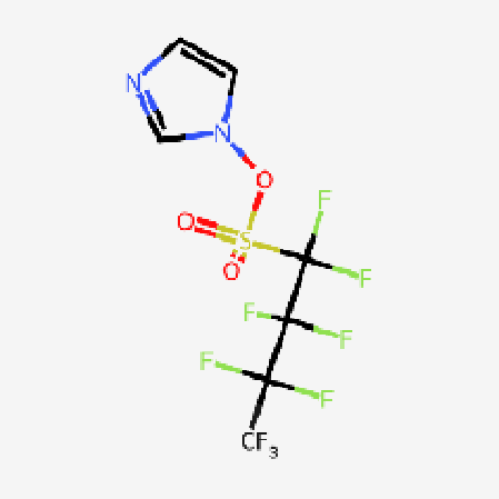 O=S(=O)(On1ccnc1)C(F)(F)C(F)(F)C(F)(F)C(F)(F)F